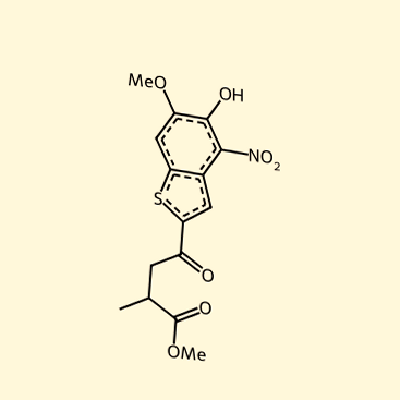 COC(=O)C(C)CC(=O)c1cc2c([N+](=O)[O-])c(O)c(OC)cc2s1